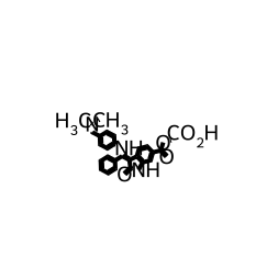 CN(C)Cc1ccc(NC(=C2C(=O)Nc3cc(C(=O)OCC(=O)O)ccc32)c2ccccc2)cc1